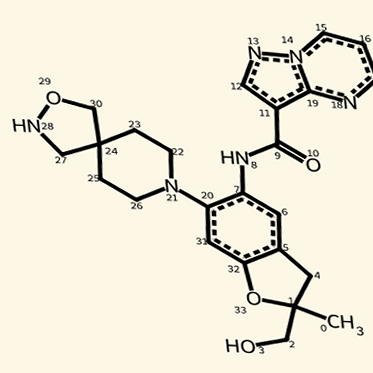 CC1(CO)Cc2cc(NC(=O)c3cnn4cccnc34)c(N3CCC4(CC3)CNOC4)cc2O1